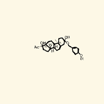 CCOc1ccc(COC2(O)CC[C@@]3(C)C(=CC[C@@H]4[C@@H]3CC[C@@]3(C)[C@H]4CC[C@]3(O)C(C)=O)C2)cc1